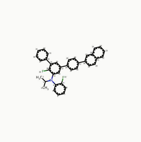 CC(C)N(c1ccccc1F)c1cc(-c2ccc(-c3ccc4ccccc4c3)cc2)cc(-c2ccccc2)c1F